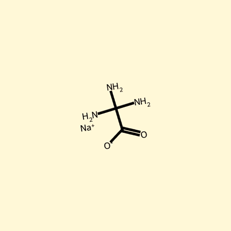 NC(N)(N)C(=O)[O-].[Na+]